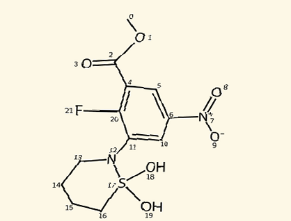 COC(=O)c1cc([N+](=O)[O-])cc(N2CCCCS2(O)O)c1F